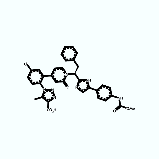 COC(=O)Nc1ccc(-c2cnc([C@H](Cc3ccccc3)n3ccc(-c4cc(Cl)ccc4-n4nnc(C(=O)O)c4C)cc3=O)[nH]2)cc1